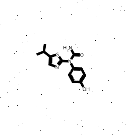 CC(C)c1cnc(N(C(N)=O)c2ccc(O)cc2)s1